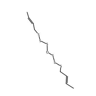 CC=CCSSSOSSSCC=CC